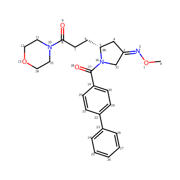 CON=C1C[C@@H](CCC(=O)N2CCOCC2)N(C(=O)c2ccc(-c3ccccc3)cc2)C1